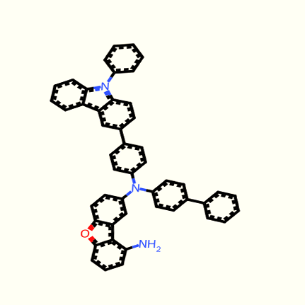 Nc1cccc2oc3ccc(N(c4ccc(-c5ccccc5)cc4)c4ccc(-c5ccc6c(c5)c5ccccc5n6-c5ccccc5)cc4)cc3c12